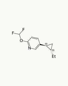 CC[C@H]1C[C@@H]1c1ccc(OC(F)F)nc1